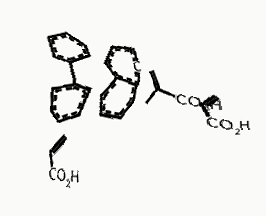 C=C(C)C(=O)O.C=CC(=O)O.C=CC(=O)O.c1ccc(-c2ccccc2)cc1.c1ccc2ccccc2c1